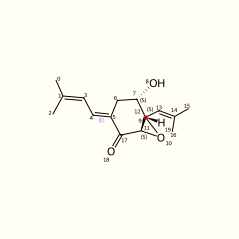 CC(C)=C/C=C1\C[C@H](O)[C@@H]2O[C@]2(CC=C(C)C)C1=O